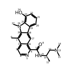 Cc1c2ccnc(C(=O)N[C@H](C)CN(C)C)c2cc2c3cccc(O)c3n(C)c12